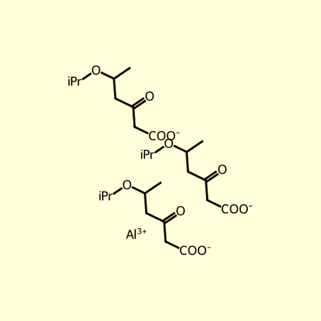 CC(C)OC(C)CC(=O)CC(=O)[O-].CC(C)OC(C)CC(=O)CC(=O)[O-].CC(C)OC(C)CC(=O)CC(=O)[O-].[Al+3]